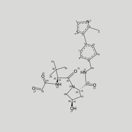 Cc1ncsc1-c1ccc(CNC(=O)[C@@H]2C[C@@H](O)CN2C(=O)[C@@H](NC(=O)C=O)C(C)(C)C)cc1